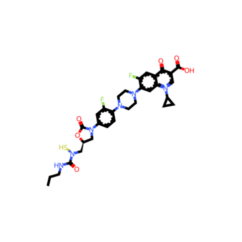 CCCNC(=O)N(S)C[C@@H]1CN(c2ccc(N3CCN(c4cc5c(cc4F)c(=O)c(C(=O)O)cn5C4CC4)CC3)c(F)c2)C(=O)O1